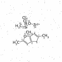 CC1=Cc2oc(C)cc2C1.C[SiH](C)[O][Zr+2].[Cl-].[Cl-]